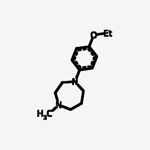 CCOc1ccc(N2CCCN(C)CC2)cc1